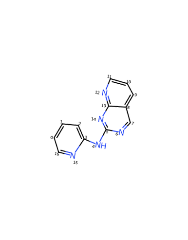 c1ccc(Nc2ncc3cccnc3n2)nc1